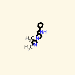 Cc1cc(C)c(N2CCc3[nH]c(C4CCCCC4)cc3C2)cn1